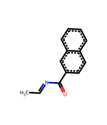 C/C=N/C(=O)c1ccc2ccccc2c1